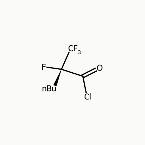 CCCC[C@](F)(C(=O)Cl)C(F)(F)F